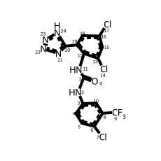 O=C(Nc1ccc(Cl)c(C(F)(F)F)c1)Nc1c(Cl)cc(Cl)cc1-c1nnn[nH]1